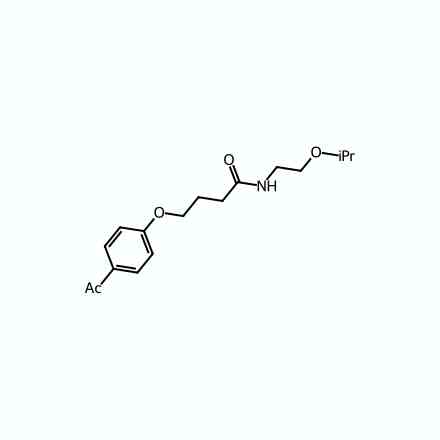 CC(=O)c1ccc(OCCCC(=O)NCCOC(C)C)cc1